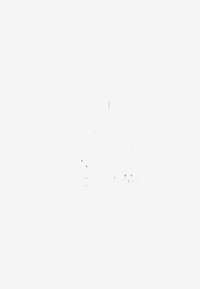 CCN(CC)c1cc(I)ccc1OC